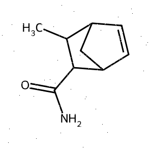 CC1C2C=CC(C2)C1C(N)=O